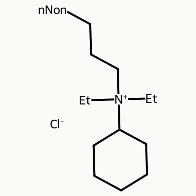 CCCCCCCCCCCC[N+](CC)(CC)C1CCCCC1.[Cl-]